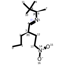 CCC[C@@H](/C=N/[C@H](C)C(C)(C)C)CC[N+](=O)[O-]